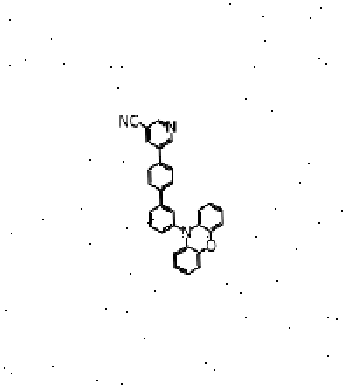 N#Cc1cncc(-c2ccc(-c3cccc(N4c5ccccc5Oc5ccccc54)c3)cc2)c1